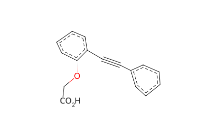 O=C(O)COc1ccccc1C#Cc1ccccc1